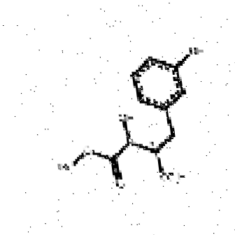 CC(C)(C)OC(=O)N(O)[C@@H](Cc1cccc(O)c1)C(=O)O